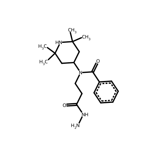 CC1(C)CC(N(CCC(=O)NN)C(=O)c2ccccc2)CC(C)(C)N1